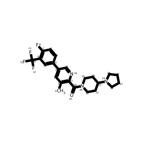 Cc1cc(-c2ccc(F)c(C(F)(F)F)c2)cnc1C(=O)N1CCC(N2CCCC2)CC1